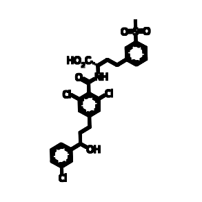 CS(=O)(=O)c1cccc(CC[C@H](NC(=O)c2c(Cl)cc(CCC(O)c3cccc(Cl)c3)cc2Cl)C(=O)O)c1